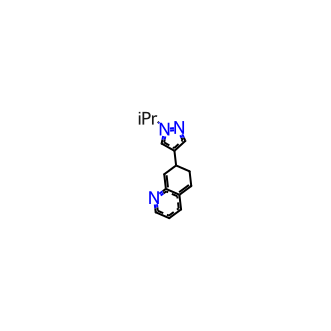 CC(C)n1cc(C2C=c3ncccc3=CC2)cn1